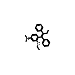 CCOc1cc(N(C)C)ccc1C(=C(CC)c1ccccc1)c1ccccc1